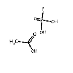 CC(=O)O.O=P(O)(O)F